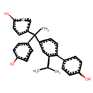 CC(C)c1cc(C(C)(c2ccc(O)cc2)c2ccc(O)cc2)ccc1-c1ccc(O)cc1